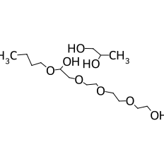 CC(O)CO.CCCCOC(O)COCCOCCOCCO